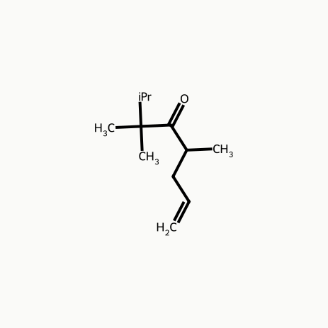 C=CCC(C)C(=O)C(C)(C)C(C)C